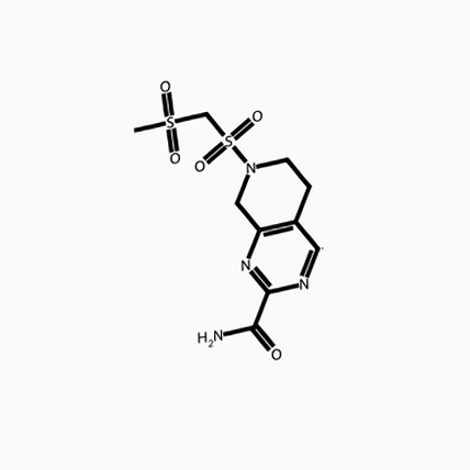 CS(=O)(=O)CS(=O)(=O)N1CCc2[c]nc(C(N)=O)nc2C1